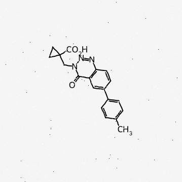 Cc1ccc(-c2ccc3nnn(CC4(C(=O)O)CC4)c(=O)c3c2)cc1